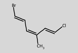 CC(=C/C=C/Br)/C=C/Cl